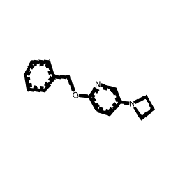 c1ccc(COc2ccc(N3CCC3)cn2)cc1